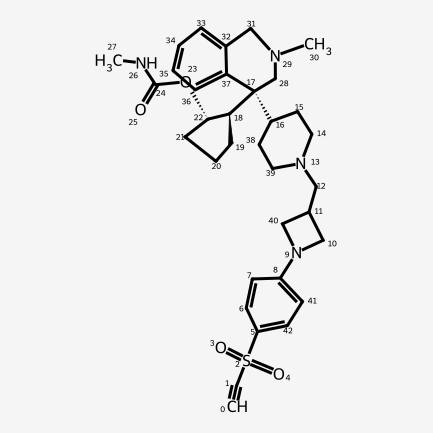 C#CS(=O)(=O)c1ccc(N2CC(CN3CCC([C@@]4([C@H]5CCC[C@@H]5OC(=O)NC)CN(C)Cc5ccccc54)CC3)C2)cc1